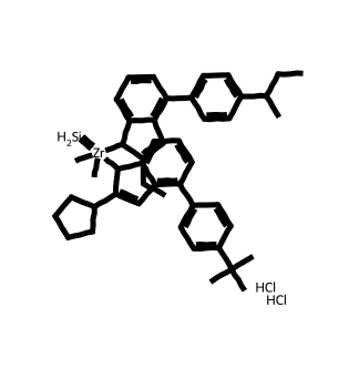 CCC1=Cc2c(-c3ccc(C(C)CC)cc3)cccc2[CH]1[Zr]([CH3])([CH3])(=[SiH2])[CH]1C(C2CCCC2)=Cc2c(-c3ccc(C(C)(C)C)cc3)cccc21.Cl.Cl